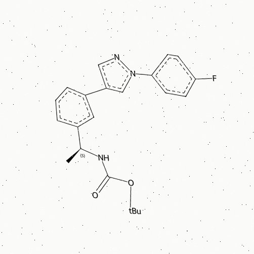 C[C@H](NC(=O)OC(C)(C)C)c1cccc(-c2cnn(-c3ccc(F)cc3)c2)c1